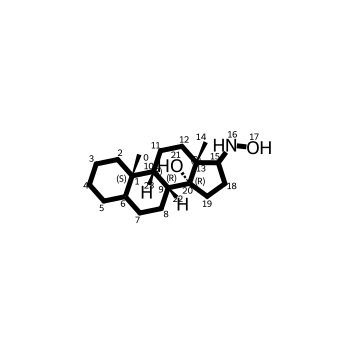 C[C@]12CCCCC1CC[C@@H]1[C@H]2CC[C@]2(C)C(NO)CC[C@@]12O